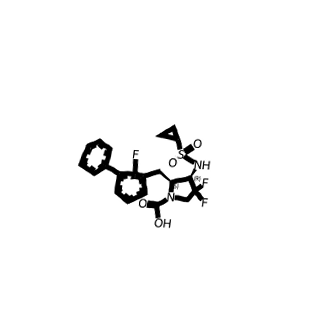 O=C(O)N1CC(F)(F)[C@H](NS(=O)(=O)C2CC2)[C@@H]1Cc1cccc(-c2ccccc2)c1F